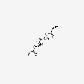 C=CC(=O)OBBBOC(=O)C=C